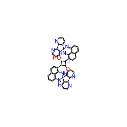 O=C1C(c2ccc3cccc4c3c2NC2(N4)c3cccnc3-c3ncccc32)=C(O)/C1=c1/ccc2cccc3c2c1NC1(N=3)c2cccnc2-c2ncccc21